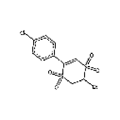 CCC1CS(=O)(=O)C(c2ccc(Cl)cc2)=CS1(=O)=O